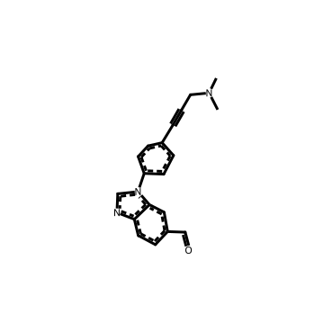 CN(C)CC#Cc1ccc(-n2cnc3ccc(C=O)cc32)cc1